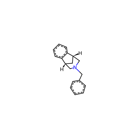 c1ccc(CN2C[C@H]3C[C@@H](C2)c2ccccc23)cc1